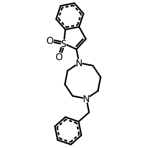 O=S1(=O)C(N2CCCN(Cc3ccccc3)CCC2)=Cc2ccccc21